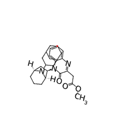 COC(=O)Cc1nc2ccccc2n([C@@H]2C[C@@H]3CCC[C@H]2N3C2CC3CCCC(C3)C2)c1=O